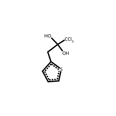 OC(O)(Cc1cccs1)C(Cl)(Cl)Cl